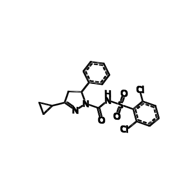 O=C(NS(=O)(=O)c1c(Cl)cccc1Cl)N1N=C(C2CC2)CC1c1ccccc1